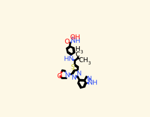 CC(C)C(Nc1ccc(C(=O)NO)cc1)c1cc2nc(-c3cccc4[nH]ncc34)nc(N3CCOCC3)c2s1